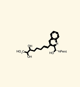 CCCCC[C@H](O)c1nc2ccccc2cc1C=CCCCC(O)C(O)C(=O)O